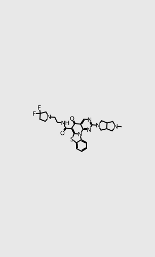 CN1CC2CN(c3ncc4c(=O)c(C(=O)NCCN5CCC(F)(F)C5)c5sc6ccccc6n5c4n3)CC2C1